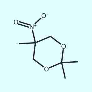 [CH2]C1([N+](=O)[O-])COC(C)(C)OC1